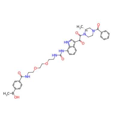 CB(O)c1ccc(C(=O)NCCOCCOCCNC(=O)Nc2cccc3c(C(=O)C(=O)N4CCN(C(=O)c5ccccc5)C[C@H]4C)c[nH]c23)cc1